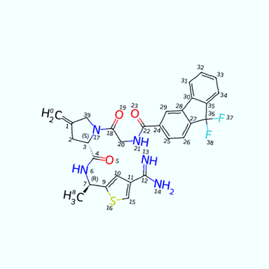 C=C1C[C@@H](C(=O)N[C@H](C)c2cc(C(=N)N)cs2)N(C(=O)CNC(=O)c2ccc3c(c2)-c2ccccc2C3(F)F)C1